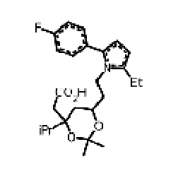 CCc1ccc(-c2ccc(F)cc2)n1CCC1CC(CC(=O)O)(C(C)C)OC(C)(C)O1